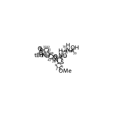 COc1ccc2c(c1)SC[C@@H](NC(=O)CC(C)(C)NC[C@@H](C)O)C(=O)N2Cc1ccc(C2=CC=CC(=S(=O)=O)C2NC(C)(C)C)cc1